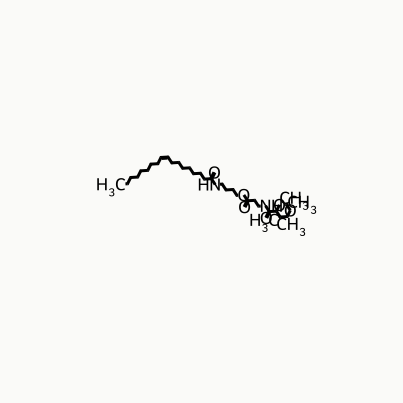 CCCCCCCC/C=C\CCCCCCCC(=O)NCCCCOC(=O)CCNC(=O)C1OC(C)(C)OCC1(C)C